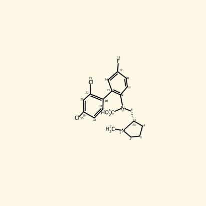 CN1CCC[C@H]1CN(C(=O)O)c1ccc(F)cc1-c1ccc(Cl)cc1Cl